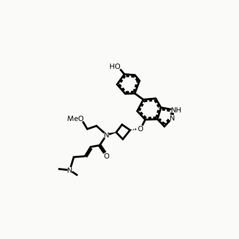 COCCN(C(=O)/C=C/CN(C)C)[C@H]1C[C@H](Oc2cc(-c3ccc(O)cc3)cc3[nH]ncc23)C1